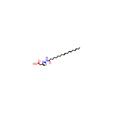 CCC=CCC=CCC=CCCCCCCCC(=O)Nc1nc(CC(=O)O)cs1